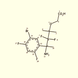 CC(C)(OCC(=O)O)C(F)(F)C(C)(N)c1cc(Br)c(F)cc1F